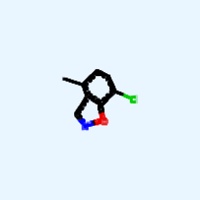 Cc1ccc(Cl)c2oncc12